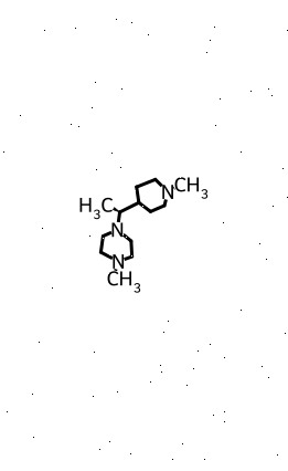 C[C@@H](C1CCN(C)CC1)N1CCN(C)CC1